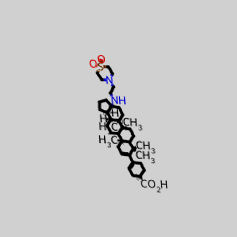 CC1(C)C(C2=CC[C@H](C(=O)O)CC2)=CC[C@@]2(C)C1CC[C@]1(C)C2CC[C@@H]2[C@H]3CCC[C@]3(NCCN3CCS(=O)(=O)CC3)CC[C@]21C